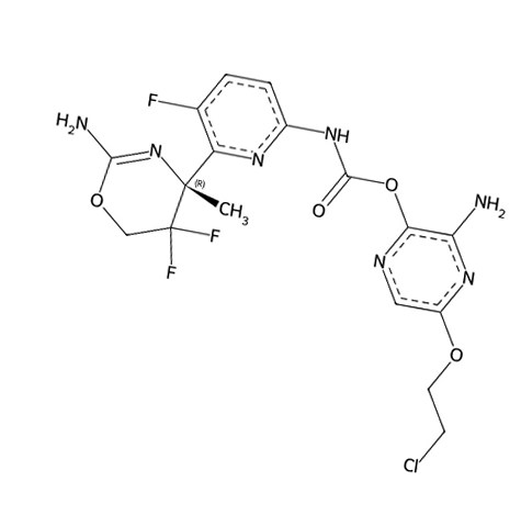 C[C@]1(c2nc(NC(=O)Oc3ncc(OCCCl)nc3N)ccc2F)N=C(N)OCC1(F)F